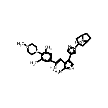 Cc1cc(/C(N)=C/c2c(-c3cnn(C4CC5CCC(C4)N5C)c3)c[nH]c2N)cc(C)c1N1CCN(C)CC1